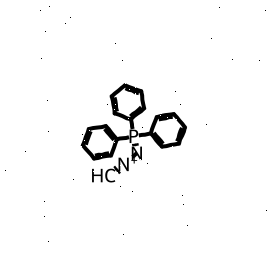 C#[N+]N=P(c1ccccc1)(c1ccccc1)c1ccccc1